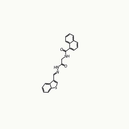 O=C(CNC(=O)c1cccc2ccccc12)N/N=C/c1csc2ccccc12